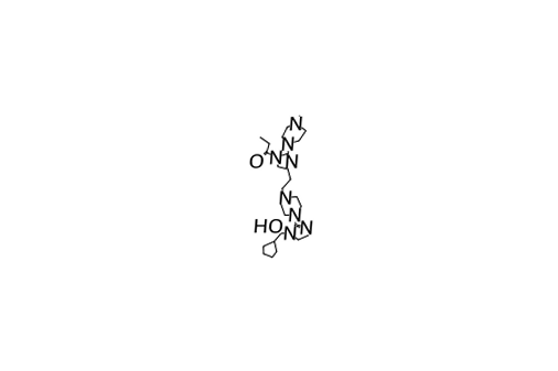 CCC(=O)N1CC(CCN2CCN(C3=NCCN3C(O)C3CCCC3)CC2)N=C1N1CCN(C)CC1